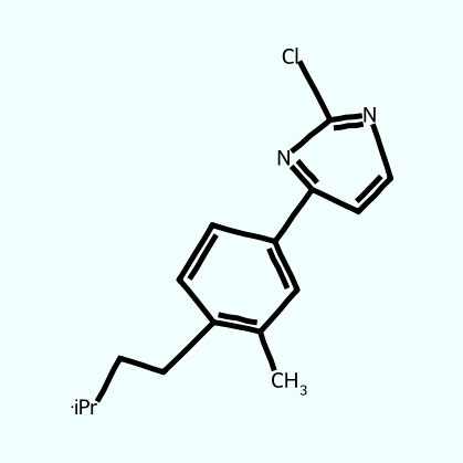 C[C](C)CCc1ccc(-c2ccnc(Cl)n2)cc1C